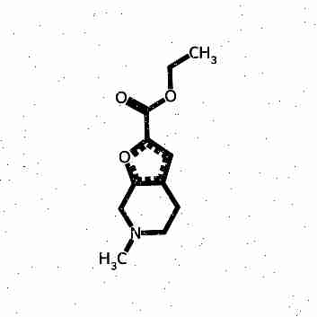 CCOC(=O)c1cc2c(o1)CN(C)CC2